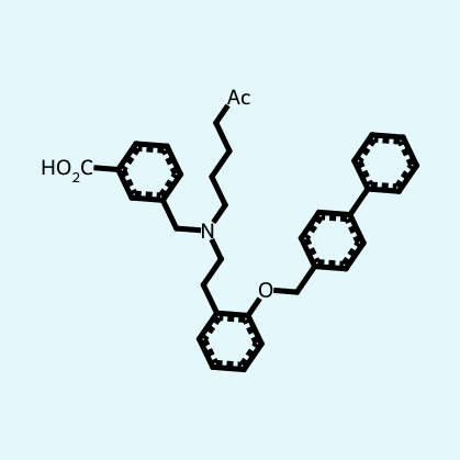 CC(=O)CCCCN(CCc1ccccc1OCc1ccc(-c2ccccc2)cc1)Cc1cccc(C(=O)O)c1